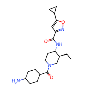 CC[C@H]1CN(C(=O)C2CCC(N)CC2)CC[C@@H]1NC(=O)c1cc(C2CC2)on1